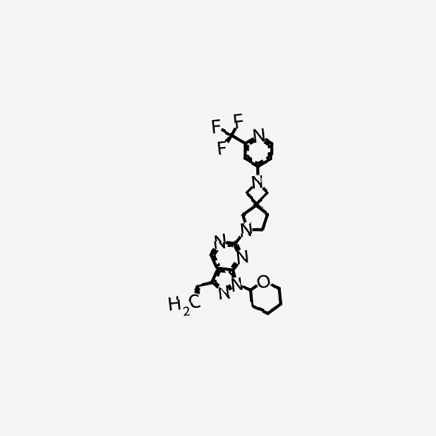 C=Cc1nn(C2CCCCO2)c2nc(N3CCC4(CN(c5ccnc(C(F)(F)F)c5)C4)C3)ncc12